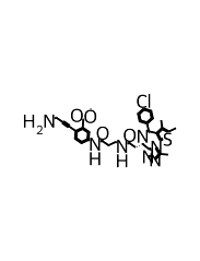 COC(=O)c1cc(NC(=O)CCNC(=O)C[C@@H]2N=C(c3ccc(Cl)cc3)c3c(sc(C)c3C)-n3c(C)nnc32)ccc1C#CCN